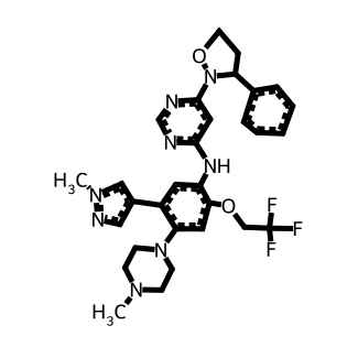 CN1CCN(c2cc(OCC(F)(F)F)c(Nc3cc(N4OCCC4c4ccccc4)ncn3)cc2-c2cnn(C)c2)CC1